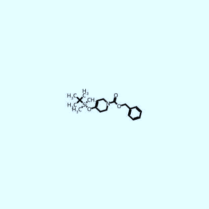 CC(C)(C)[Si](C)(C)OC1=CCN(C(=O)OCc2ccccc2)CC1